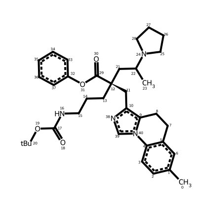 Cc1ccc2c(c1)CCc1c(C[C@](CCCNC(=O)OC(C)(C)C)(CC(C)N3CCCC3)C(=O)Oc3ccccc3)ncn1-2